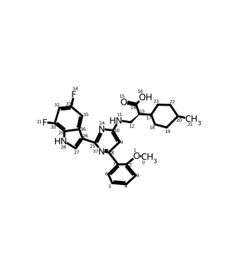 COc1ccccc1-c1cc(NC[C@@H](C(=O)O)C2CCC(C)CC2)nc(-c2c[nH]c3c(F)cc(F)cc23)n1